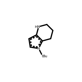 CC(C)(C)n1ccc2c1CCCN2